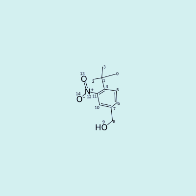 CC(C)(C)c1ccc(CO)cc1[N+](=O)[O-]